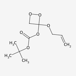 C=CCOC1(OC(=O)OC(C)(C)C)COO1